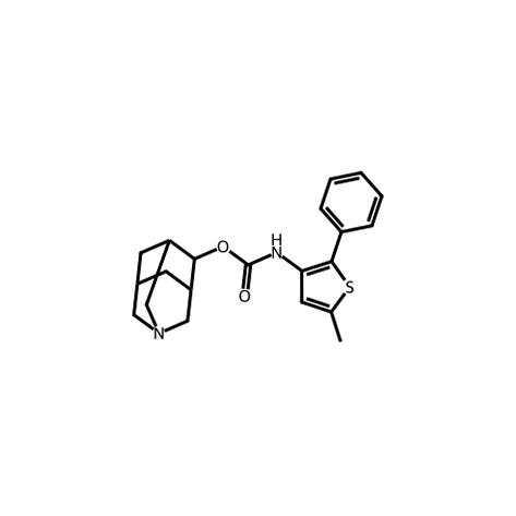 Cc1cc(NC(=O)OC2C3CC4CC2CN(C4)C3)c(-c2ccccc2)s1